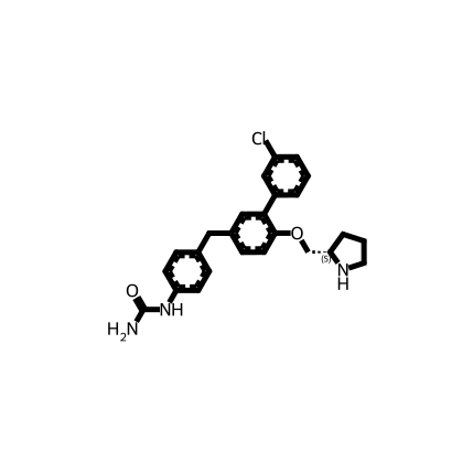 NC(=O)Nc1ccc(Cc2ccc(OC[C@@H]3CCCN3)c(-c3cccc(Cl)c3)c2)cc1